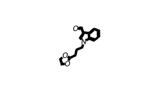 O=Cc1cn(CCCC2OCCO2)c2ccccc12